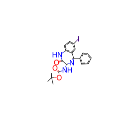 CC(C)(C)OC(=O)NC1N=C(c2ccccc2)c2cc(I)ccc2NC1=O